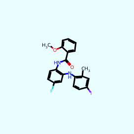 COc1ccccc1C(=O)Nc1ccc(F)cc1Nc1ccc(I)cc1C